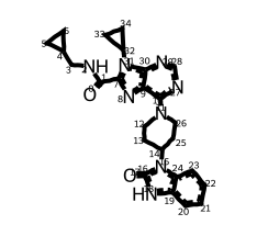 O=C(NCC1CC1)c1nc2c(N3CCC(n4c(=O)[nH]c5ccccc54)CC3)ncnc2n1C1CC1